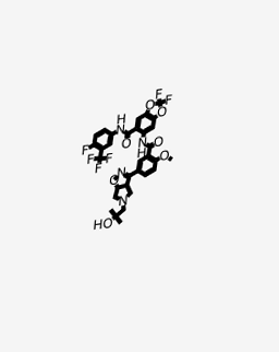 COc1ccc(C2=NOC3CN(CC(C)(C)O)CC23)cc1C(=O)Nc1cc2c(cc1C(=O)Nc1ccc(F)c(C(F)(F)F)c1)OC(F)(F)O2